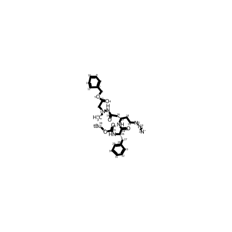 CN(CC(=O)OCc1ccccc1)NC(=O)C[C@H](CCN=[N+]=[N-])NC(=O)[C@H](Cc1ccccc1)NC(=O)OC(C)(C)C